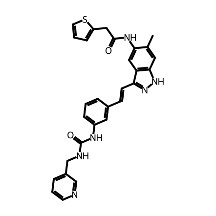 Cc1cc2[nH]nc(C=Cc3cccc(NC(=O)NCc4cccnc4)c3)c2cc1NC(=O)Cc1cccs1